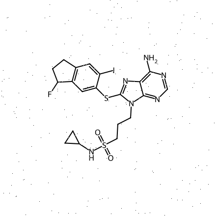 Nc1ncnc2c1nc(Sc1cc3c(cc1I)CCC3F)n2CCCS(=O)(=O)NC1CC1